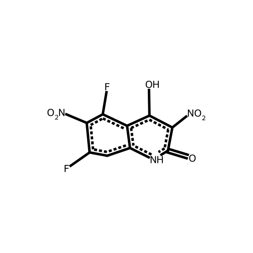 O=c1[nH]c2cc(F)c([N+](=O)[O-])c(F)c2c(O)c1[N+](=O)[O-]